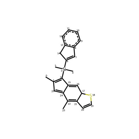 CC1=C([Si](C)(C)C2=Cc3ccccc3C2)C2=CC3SC=CC3=C(C)C2=C1